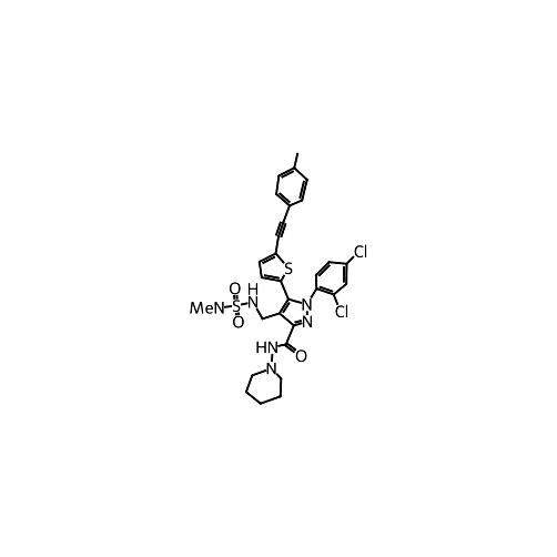 CNS(=O)(=O)NCc1c(C(=O)NN2CCCCC2)nn(-c2ccc(Cl)cc2Cl)c1-c1ccc(C#Cc2ccc(C)cc2)s1